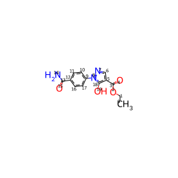 CCOC(=O)c1cnn(-c2ccc(C(N)=O)cc2)c1O